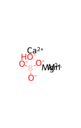 [Ca+2].[Mg+2].[Mn].[O-]B([O-])[O-].[OH-]